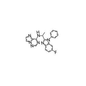 CC(Nc1ncnn2ccnc12)c1nc2ccc(F)cc2n1-c1ccccc1